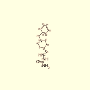 NC(=O)NNSC1CCN(Cc2ccccc2)CC1